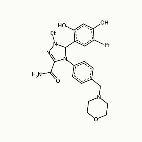 CCN1N=C(C(N)=O)N(c2ccc(CN3CCOCC3)cc2)C1c1cc(C(C)C)c(O)cc1O